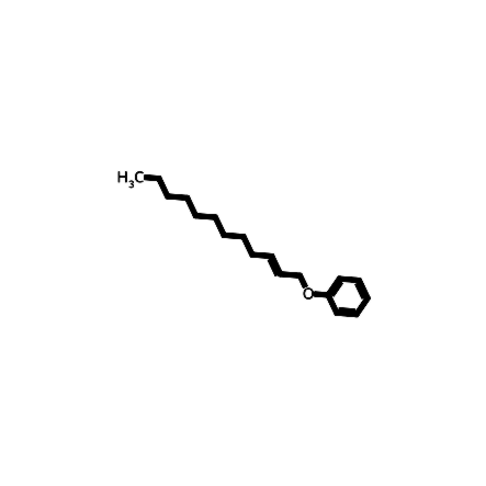 CCCCCCCCCC=CCOc1ccccc1